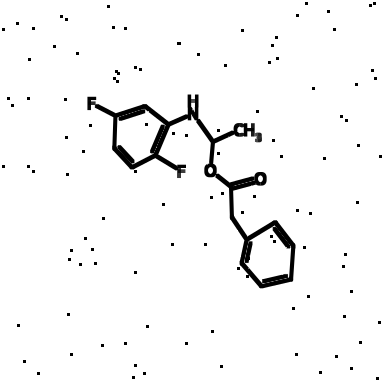 CC(Nc1cc(F)ccc1F)OC(=O)Cc1ccccc1